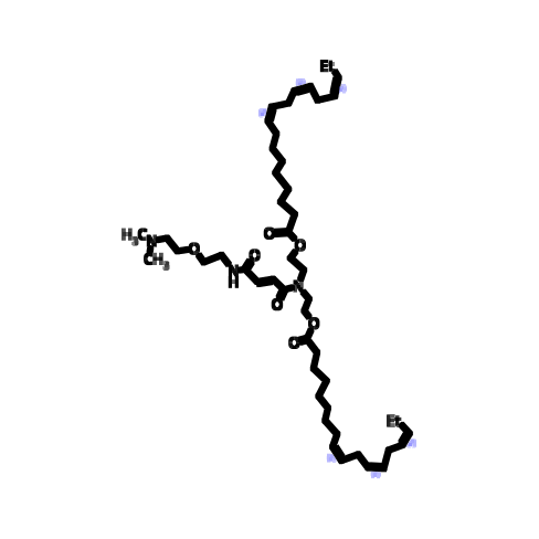 CC/C=C\C/C=C\C/C=C\CCCCCCCC(=O)OCCN(CCOC(=O)CCCCCCC/C=C\C/C=C\C/C=C\CC)C(=O)C=CC(=O)NCCOCCN(C)C